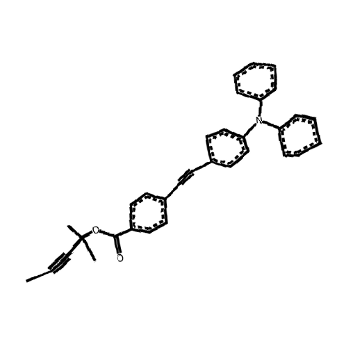 CC#CC(C)(C)OC(=O)c1ccc(C#Cc2ccc(N(c3ccccc3)c3ccccc3)cc2)cc1